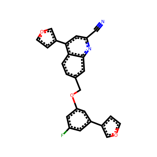 N#Cc1cc(-c2ccoc2)c2ccc(COc3cc(F)cc(-c4ccoc4)c3)cc2n1